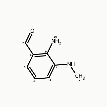 CNc1cccc(C=O)c1N